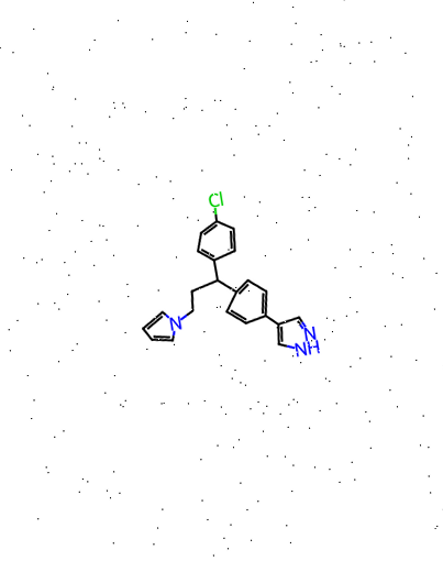 Clc1ccc(C(CCn2cccc2)c2ccc(-c3cn[nH]c3)cc2)cc1